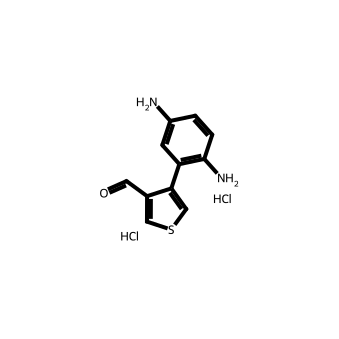 Cl.Cl.Nc1ccc(N)c(-c2cscc2C=O)c1